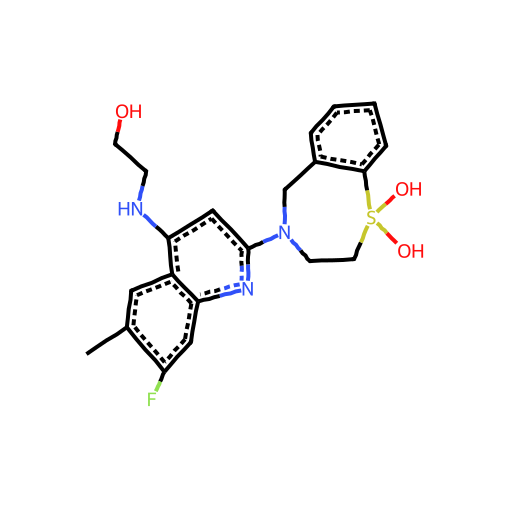 Cc1cc2c(NCCO)cc(N3CCS(O)(O)c4ccccc4C3)nc2cc1F